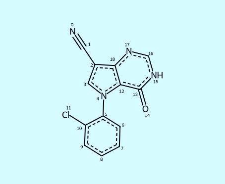 N#Cc1cn(-c2ccccc2Cl)c2c(=O)[nH]cnc12